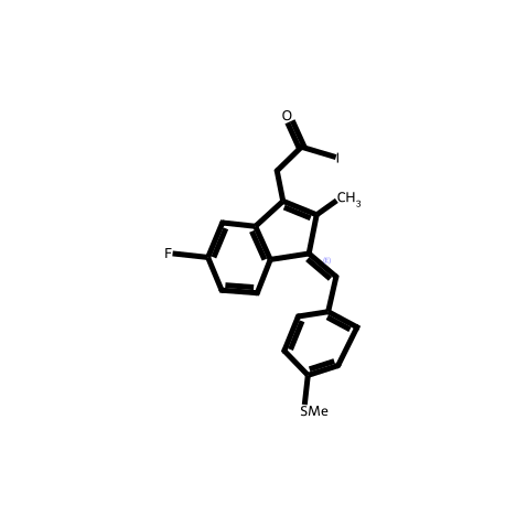 CSc1ccc(/C=C2/C(C)=C(CC(=O)I)c3cc(F)ccc32)cc1